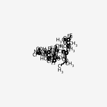 CCCCCC(C)OC(=O)COc1ccc(Cl)c2cccnc12.COC(=O)c1ccc(I)cc1S(=O)(=O)[N-]C(=O)Nc1nc(C)nc(OC)n1.Cc1nn(C)c(O)c1C(=O)c1ccc(C(F)(F)F)cc1S(C)(=O)=O.Cc1nn(C)c(O)c1C(=O)c1ccc(C(F)(F)F)cc1S(C)(=O)=O.Nc1cc(Cl)nc(C(=O)O)c1Cl.[Na+]